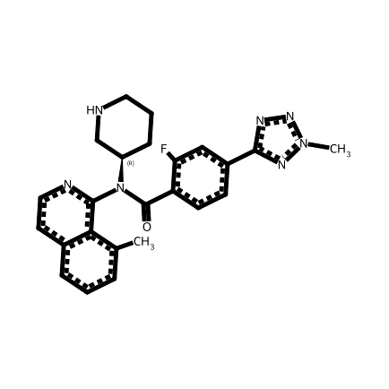 Cc1cccc2ccnc(N(C(=O)c3ccc(-c4nnn(C)n4)cc3F)[C@@H]3CCCNC3)c12